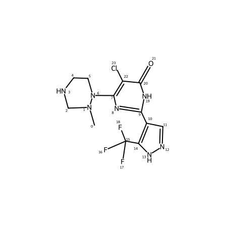 CN1CNCCN1c1nc(-c2cn[nH]c2C(F)(F)F)[nH]c(=O)c1Cl